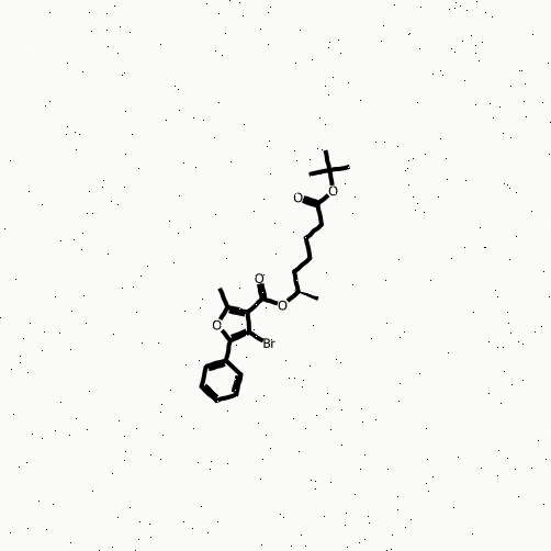 Cc1oc(-c2ccccc2)c(Br)c1C(=O)O[C@H](C)CCCCC(=O)OC(C)(C)C